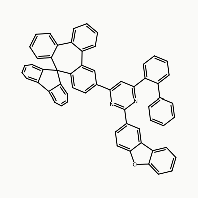 c1ccc(-c2ccccc2-c2cc(-c3ccc4c(c3)-c3ccccc3-c3ccccc3C43c4ccccc4-c4ccccc43)nc(-c3ccc4oc5ccccc5c4c3)n2)cc1